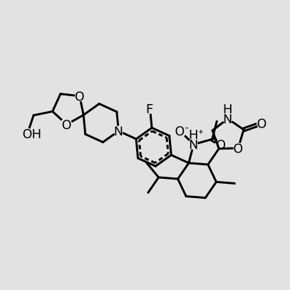 CC(=O)[NH+]([O-])C1(c2ccc(N3CCC4(CC3)OCC(CO)O4)c(F)c2)C(C(C)C)CCC(C)C1C1CNC(=O)O1